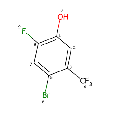 Oc1cc(C(F)(F)F)c(Br)cc1F